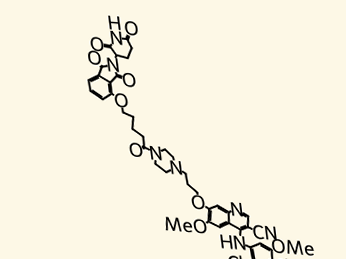 COc1cc(Nc2c(C#N)cnc3cc(OCCCN4CCN(C(=O)CCCCOc5cccc6c5C(=O)N(C5CCC(=O)NC5=O)C6=O)CC4)c(OC)cc23)c(Cl)cc1Cl